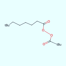 CC(C)(C)CCCCCC(=O)OOC(=O)C(C)(C)C